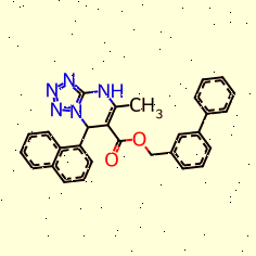 CC1=C(C(=O)OCc2cccc(-c3ccccc3)c2)C(c2cccc3ccccc23)n2nnnc2N1